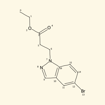 CCOC(=O)CCn1ncc2cc(Br)ccc21